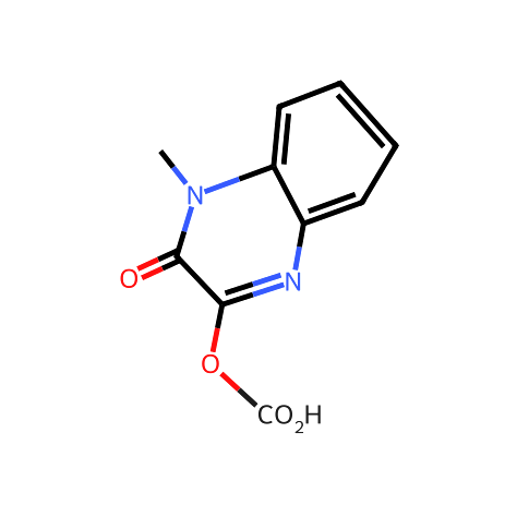 Cn1c(=O)c(OC(=O)O)nc2ccccc21